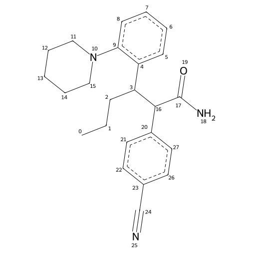 CCCC(c1ccccc1N1CCCCC1)C(C(N)=O)c1ccc(C#N)cc1